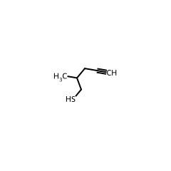 C#CCC(C)CS